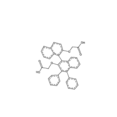 O=C(O)COc1ccc2ccccc2c1-c1c(OCC(=O)O)c(-c2ccccc2)c(-c2ccccc2)c2ccccc12